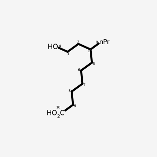 CCCC(CCO)CCCCCC(=O)O